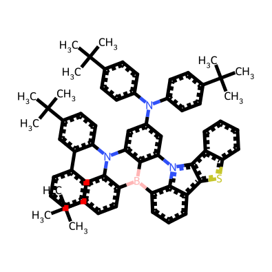 CC(C)(C)c1ccc(N(c2ccc(C(C)(C)C)cc2)c2cc3c4c(c2)-n2c5c(cccc5c5sc6ccccc6c52)B4c2ccc(C(C)(C)C)cc2N3c2ccc(C(C)(C)C)cc2-c2ccccc2)cc1